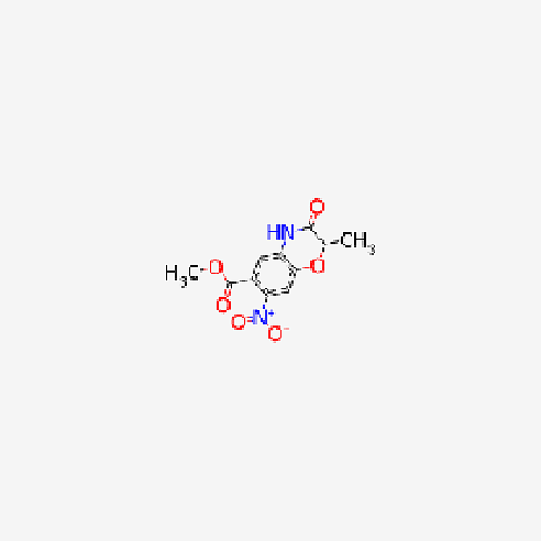 COC(=O)c1cc2c(cc1[N+](=O)[O-])OC(C)C(=O)N2